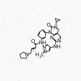 Cn1cc(Nc2ncc3c(n2)N(c2cccc(NC(=O)/C=C/CN4CCCC4)c2)C(=O)N(C2CC2)C3)cn1